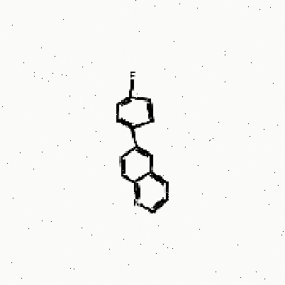 Fc1ccc(-c2ccc3ncccc3c2)cc1